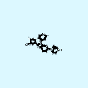 Fc1ccc(-c2nc3ccc(N4CC5CC4CN5)nc3n2-c2ccncc2)cc1Cl